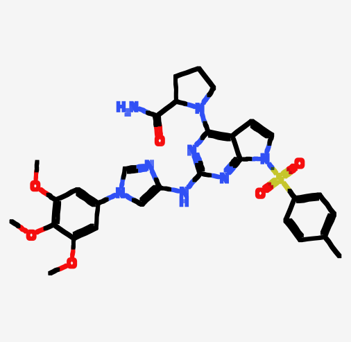 COc1cc(-n2cnc(Nc3nc(N4CCCC4C(N)=O)c4ccn(S(=O)(=O)c5ccc(C)cc5)c4n3)c2)cc(OC)c1OC